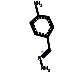 N/N=C/c1ccc(N)cc1